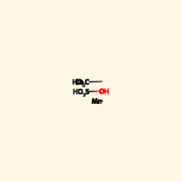 CC(=O)O.O=S(=O)(O)O.[Co].[Mn]